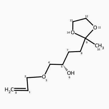 C=CCOC[C@@H](O)CCC1(C)OCCO1